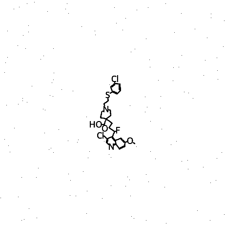 COc1ccc2ncc(Cl)c(C(F)CCC3(C(=O)O)CCN(CCSc4cccc(Cl)c4)CC3)c2c1